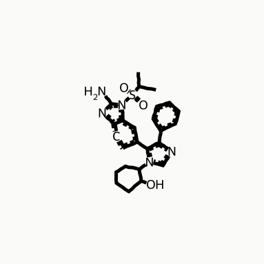 CC(C)S(=O)(=O)n1c(N)nc2ccc(-c3c(-c4ccccc4)ncn3C3CCCCC3O)cc21